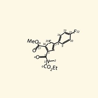 CCOC(=O)N(C)C(=O)c1cc(-c2ccc(F)cc2)sc1C(=O)OC